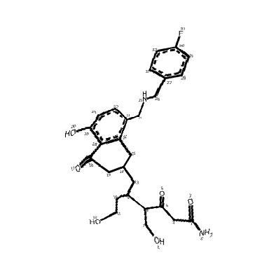 NC(=O)CC(=O)C(CO)C(CCO)CC1CC(=O)c2c(O)ccc(CNCc3ccc(F)cc3)c2C1